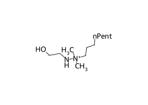 CCCCCCCC[N+](C)(C)NCCO